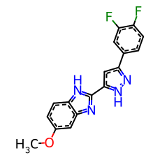 COc1ccc2[nH]c(-c3cc(-c4ccc(F)c(F)c4)n[nH]3)nc2c1